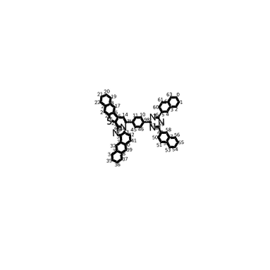 c1ccc2cc(-c3nc(-c4ccc(-c5cc6c7cc8ccccc8cc7sc6c6nc7c8cc9ccccc9cc8ccc7n56)cc4)nc(-c4ccc5ccccc5c4)n3)ccc2c1